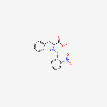 COC(=O)C(Cc1ccccc1)NCc1ccccc1[N+](=O)[O-]